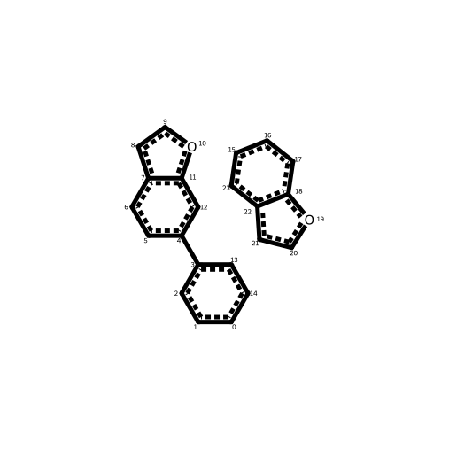 c1ccc(-c2ccc3ccoc3c2)cc1.c1ccc2occc2c1